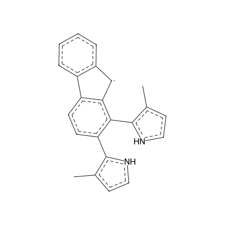 Cc1cc[nH]c1-c1ccc2c(c1-c1[nH]ccc1C)[CH]c1ccccc1-2